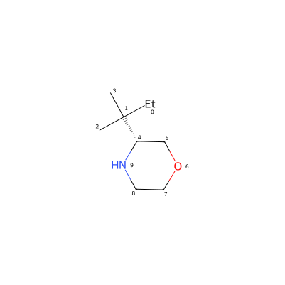 CCC(C)(C)[C@@H]1COCCN1